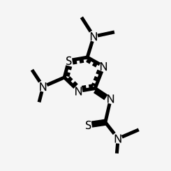 CN(C)C(=S)N=c1nc(N(C)C)sc(N(C)C)n1